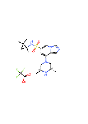 C[C@H]1CN(c2cc(S(=O)(=O)NC3(C)CC3(C)C)cn3cncc23)C[C@H](C)N1.O=C(O)C(F)(F)F